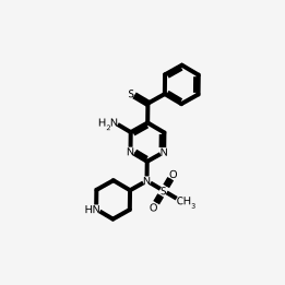 CS(=O)(=O)N(c1ncc(C(=S)c2ccccc2)c(N)n1)C1CCNCC1